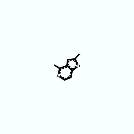 Cc1cc2c(C)nccc2o1